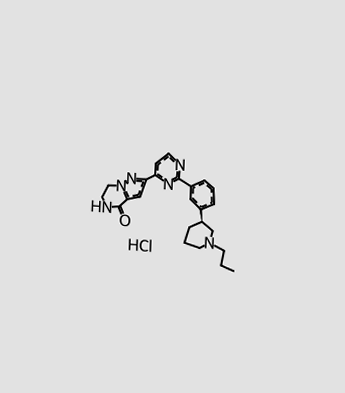 CCCN1CCC[C@@H](c2cccc(-c3nccc(-c4cc5n(n4)CCNC5=O)n3)c2)C1.Cl